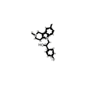 Cc1ccc2c(c1)c1c(n2CC(O)c2ccc(F)cc2)CCN(C)C1